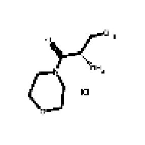 CC[C@H](N)C(=O)N1CCOCC1.Cl